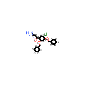 N/C=C/C(=O)c1cc(Cl)c(OCc2ccccc2)cc1OCc1ccccc1